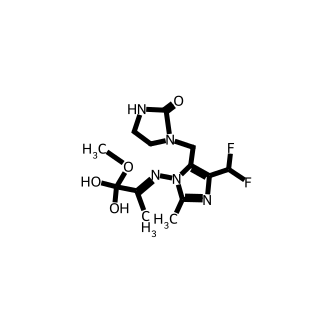 COC(O)(O)/C(C)=N/n1c(C)nc(C(F)F)c1CN1CCNC1=O